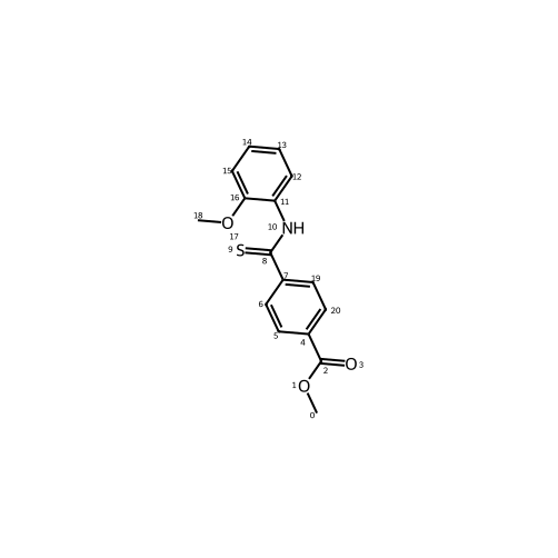 COC(=O)c1ccc(C(=S)Nc2ccccc2OC)cc1